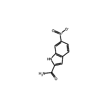 NC(=O)c1cc2ccc([N+](=O)[O-])cc2[nH]1